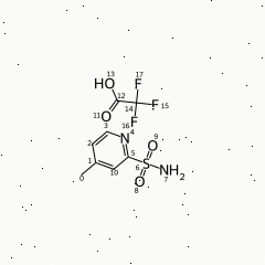 Cc1ccnc(S(N)(=O)=O)c1.O=C(O)C(F)(F)F